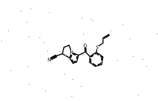 C=CCSc1ccccc1C(=O)c1ccc2n1CCC2C#N